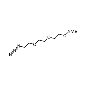 CNOCCOCCOCCN=[N+]=[N-]